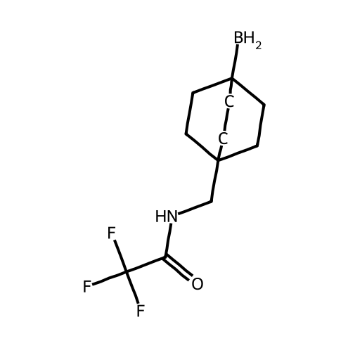 BC12CCC(CNC(=O)C(F)(F)F)(CC1)CC2